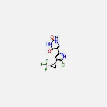 O=c1[nH]cc(-c2cc([C@H]3C[C@@H]3C(F)(F)F)c(Cl)nn2)c(=O)[nH]1